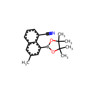 Cc1cc(B2OC(C)(C)C(C)(C)O2)c2c(C#N)cccc2c1